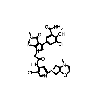 CN1CCOC2CN(c3cc(NC(=O)Cn4cc(-c5cc(Cl)c(O)c(C(N)=O)c5)c5c(=O)n(C)cnc54)c(Cl)cn3)CC21